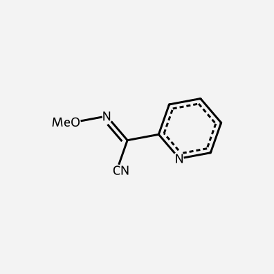 CO/N=C(\C#N)c1ccccn1